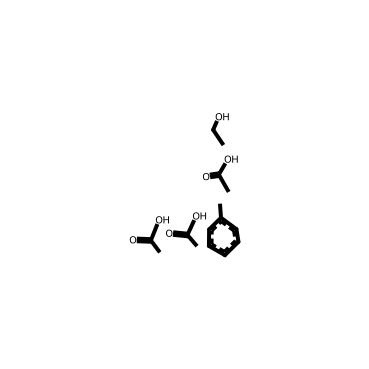 CC(=O)O.CC(=O)O.CC(=O)O.CCO.Cc1ccccc1